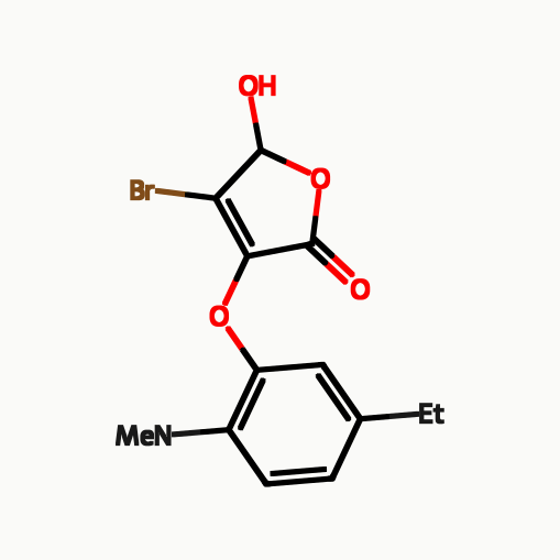 CCc1ccc(NC)c(OC2=C(Br)C(O)OC2=O)c1